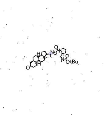 C/C(=N\OC(=O)N1CCC[C@H]1CN(C)C(=O)OC(C)(C)C)[C@H]1CCC2[C@@H]3CCC4=CC(=O)CC[C@]4(C)[C@H]3CC[C@@]21C